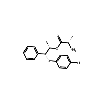 C[C@H](N)C(=O)O[C@@H](C)[C@H](Oc1ccc(Cl)cc1)c1ccccc1